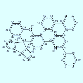 c1ccc(-c2cc(-c3ccccc3-c3ccccc3)nc(-c3ccc4c(c3)Oc3ccccc3C43c4ccccc4-c4ccccc43)n2)cc1